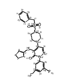 O=c1c(SC2CCCC2)c(N2CCN(S(=O)(=O)Cc3ccccc3)CC2)cnn1-c1cc(F)cc(F)c1